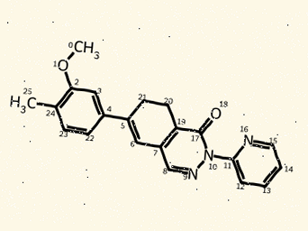 COc1cc(C2=Cc3cnn(-c4ccccn4)c(=O)c3CC2)ccc1C